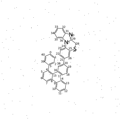 c1ccc(-c2cccc(-c3ccccc3)c2-c2cccc(-c3ccc4c(c3)SCc3nc5ccccc5n3-4)c2)cc1